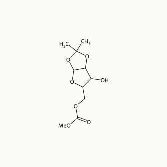 COC(=O)OCC1OC2OC(C)(C)OC2C1O